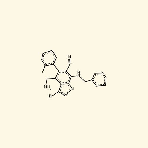 Cc1ccccc1-c1c(C#N)c(NCc2cccnc2)c2ncc(Br)n2c1CN